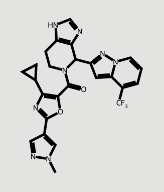 Cn1cc(-c2nc(C3CC3)c(C(=O)N3CCc4[nH]cnc4C3c3cc4c(C(F)(F)F)cccn4n3)o2)cn1